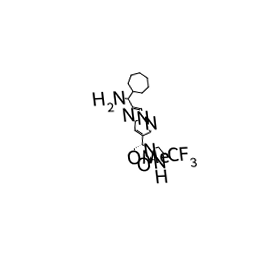 COC[C@H](c1cnn2cc(C(N)C3CCCCCC3)nc2c1)N1C[C@@H](C(F)(F)F)NC1=O